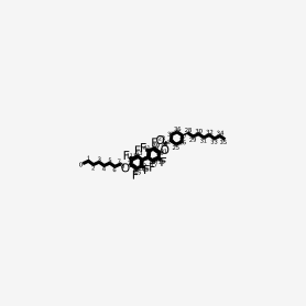 CCCCCCCCOc1c(F)c(F)c(-c2c(F)c(F)c(OC(=O)[C@H]3CC[C@H](CCCCCCCC)CC3)c(F)c2F)c(F)c1F